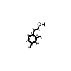 Cc1ccc(CCO)c(C)c1